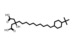 CC(C)(C)C1CCC(CCCCCCCCCCC(O)(CC(=O)O)CC(=O)O)CC1